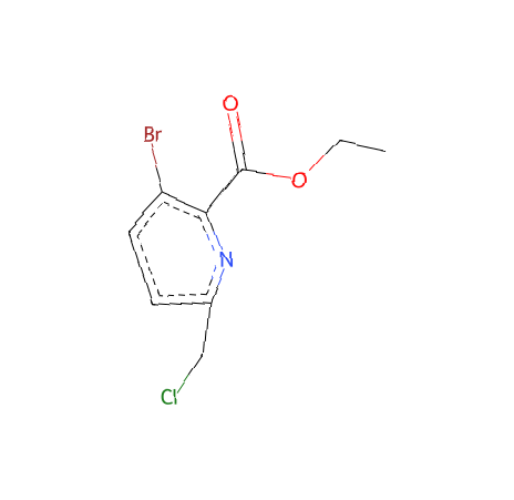 CCOC(=O)c1nc(CCl)ccc1Br